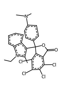 CCn1c(C)c(C2(c3ccc(N(C)C)cc3)OC(=O)c3c(Cl)c(Cl)c(Cl)c(Cl)c32)c2ccccc21